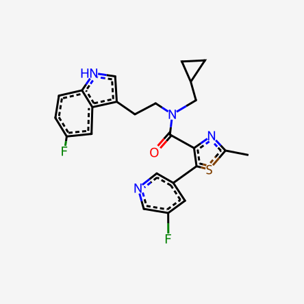 Cc1nc(C(=O)N(CCc2c[nH]c3ccc(F)cc23)CC2CC2)c(-c2cncc(F)c2)s1